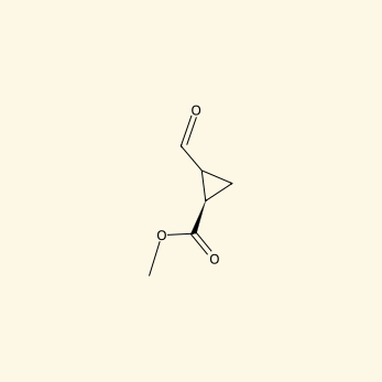 COC(=O)[C@@H]1CC1C=O